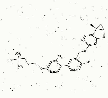 CC(C)(O)CCCOc1cc(C(F)(F)F)c(-c2ccc(F)c(COc3cc4c(cn3)[C@@H]3CC3=C4)c2)cn1